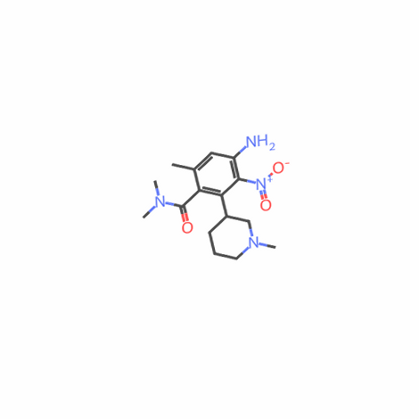 Cc1cc(N)c([N+](=O)[O-])c(C2CCCN(C)C2)c1C(=O)N(C)C